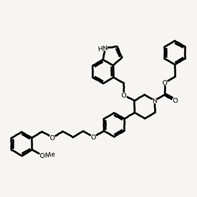 COc1ccccc1COCCCOc1ccc(C2CCN(C(=O)OCc3ccccc3)CC2OCc2cccc3[nH]ccc23)cc1